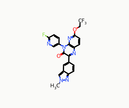 Cn1cc2cc(-c3nc4ccc(OCC(F)(F)F)nc4n(-c4ccc(F)nc4)c3=O)ccc2n1